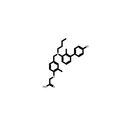 CCCCN(Cc1ccc(OCC(=O)O)c(C)c1)c1cccc(-c2ccc(Cl)cc2)c1C